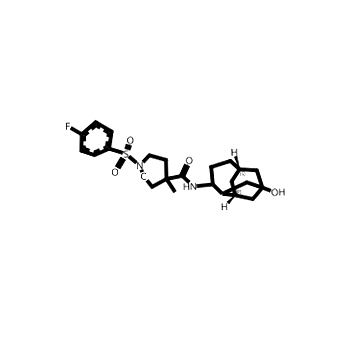 CC1(C(=O)NC2CC[C@H]3C[C@@H]4CC(O)(CC24)C3)CCN(S(=O)(=O)c2ccc(F)cc2)CC1